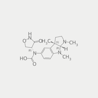 CN1CC[C@@]2(C)c3cc(N(C(=O)O)[C@@H]4CONC4=O)ccc3N(C)[C@@H]12